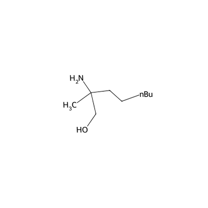 CCCCCCC(C)(N)CO